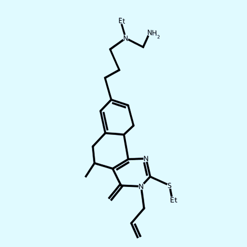 C=CCN1C(=C)C2=C(N=C1SCC)C1CC=C(CCCN(CC)CN)C=C1CC2C